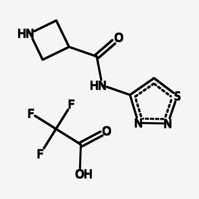 O=C(Nc1csnn1)C1CNC1.O=C(O)C(F)(F)F